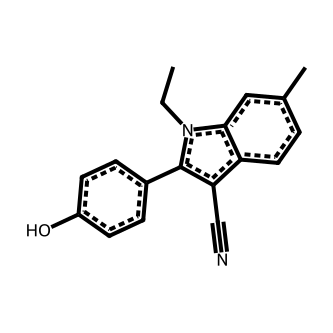 CCn1c(-c2ccc(O)cc2)c(C#N)c2ccc(C)cc21